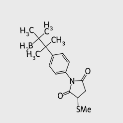 BC(C)(C)C(C)(C)c1ccc(N2C(=O)CC(SC)C2=O)cc1